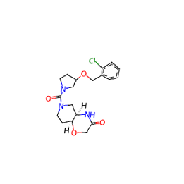 O=C1CO[C@H]2CCN(C(=O)N3CCC(OCc4ccccc4Cl)C3)C[C@H]2N1